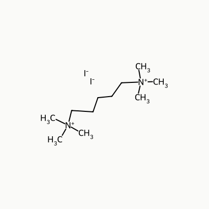 C[N+](C)(C)CCCCC[N+](C)(C)C.[I-].[I-]